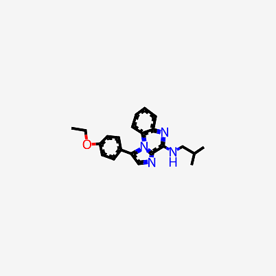 CCOc1ccc(-c2cnc3c(NCC(C)C)nc4ccccc4n23)cc1